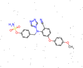 COc1ccc(Oc2ccc(C#N)c(N(Cc3ccc(OS(N)(=O)=O)cc3)n3cnnc3)c2)cc1